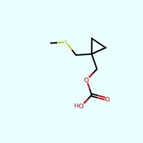 CSCC1(COC(=O)O)CC1